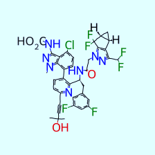 Cn1nc(NC(=O)O)c2c(Cl)ccc(-c3ccc(C#CC(C)(C)O)nc3[C@H](Cc3cc(F)cc(F)c3)NC(=O)Cn3nc(C(F)F)c4c3C(F)(F)[C@@H]3C[C@H]43)c21